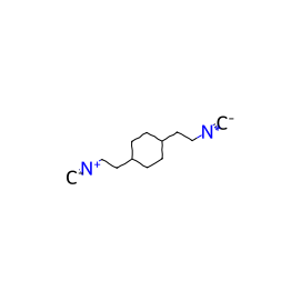 [C-]#[N+]CCC1CCC(CC[N+]#[C-])CC1